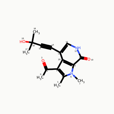 CC(=O)c1c(C)n(C)c2c(=O)[nH]cc(C#CC(C)(C)O)c12